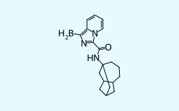 Bc1nc(C(=O)NC23CCCC4CC(CC4C2)C3)n2ccccc12